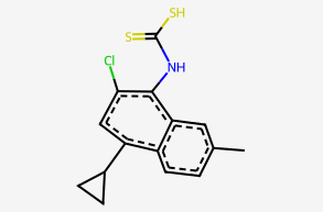 Cc1ccc2c(C3CC3)cc(Cl)c(NC(=S)S)c2c1